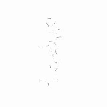 C[C@@H]1c2ccccc2CCN1C(=O)c1cc(C2CC2)n2nc(-c3ccc([C@@H]4CC4C(=O)O)cc3F)cc2n1